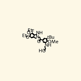 CCOc1cc2c(c(F)c1OCC)C(=N)N(CC(=O)c1cc(NCCO)c(OC)c(C(C)(C)C)c1)C2